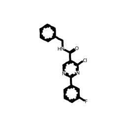 O=C(NCc1ccccc1)c1cnc(-c2cccc(F)c2)nc1Cl